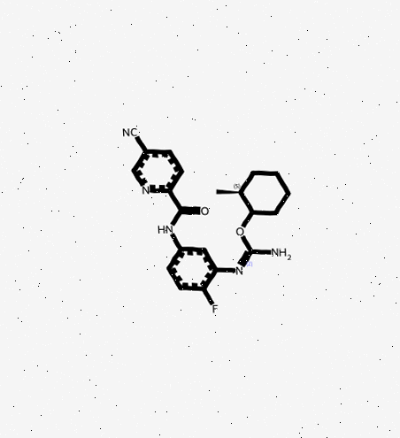 C[C@H]1CCCCC1O/C(N)=N\c1cc(NC(=O)c2ccc(C#N)cn2)ccc1F